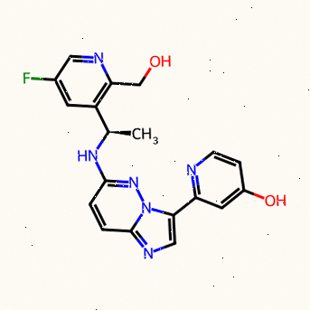 C[C@@H](Nc1ccc2ncc(-c3cc(O)ccn3)n2n1)c1cc(F)cnc1CO